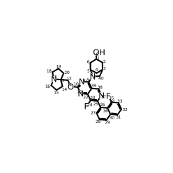 OC1CC2CC(C1)N(c1nc(OCC34CCCN3CCC4)nc3c(F)c(-c4cccc5cccc(F)c45)ncc13)C2